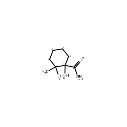 CC1(C)CCCCC1(O)C(N)=O